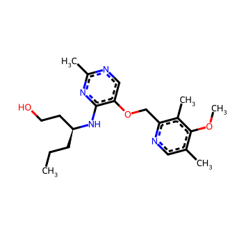 CCC[C@@H](CCO)Nc1nc(C)ncc1OCc1ncc(C)c(OC)c1C